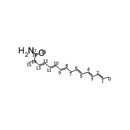 CC=CC=CC=CCC=CC=CC=CC(C)C(N)=O